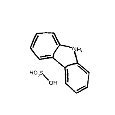 O=S(=O)(O)O.c1ccc2c(c1)[nH]c1ccccc12